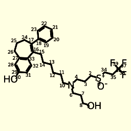 [O-][S+](CCCN(CCCO)CCCCCCC1=C(c2ccccc2)CCCc2cc(O)ccc21)CCC(F)(F)F